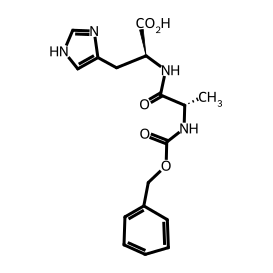 C[C@H](NC(=O)OCc1ccccc1)C(=O)N[C@@H](Cc1c[nH]cn1)C(=O)O